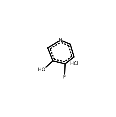 Cl.Oc1cnccc1F